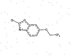 FC(F)(F)COc1ccc2nc(Cl)oc2c1